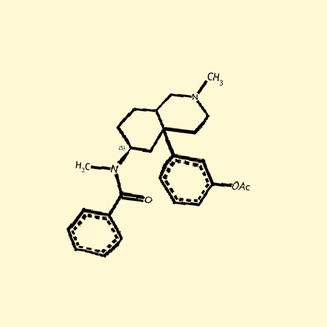 CC(=O)Oc1cccc(C23CCN(C)CC2CC[C@H](N(C)C(=O)c2ccccc2)C3)c1